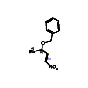 CC[C@H](C)[C@@H](/C=C/[N+](=O)[O-])OCc1ccccc1